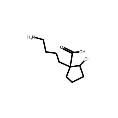 NCCCCC1(C(=O)O)CCCC1O